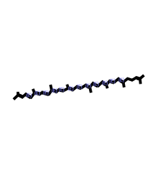 CC(C)=C/C=C/C(C)=C/C=C/C(C)=C/C=C/C(C)=C/C=C/C=C(C)/C=C/C=C(C)/C=C/C=C(\C)CCC=C(C)C